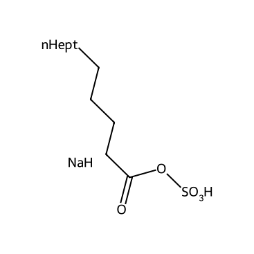 CCCCCCCCCCCC(=O)OS(=O)(=O)O.[NaH]